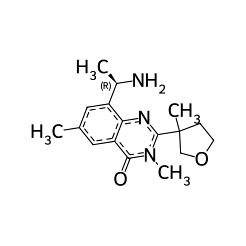 Cc1cc([C@@H](C)N)c2nc(C3(C)CCOC3)n(C)c(=O)c2c1